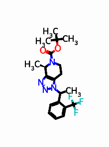 CC(c1ccccc1C(F)(F)F)n1nnc2c1CCN(C(=O)OC(C)(C)C)[C@@H]2C